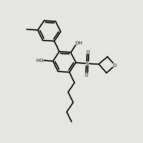 CCCCCc1cc(O)c(-c2cccc(C)c2)c(O)c1S(=O)(=O)C1COC1